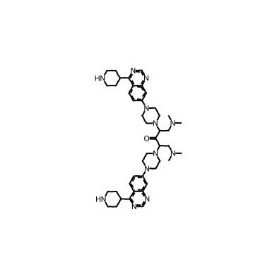 CN(C)CC(C(=O)C(CN(C)C)N1CCN(c2ccc3c(C4CCNCC4)ncnc3c2)CC1)N1CCN(c2ccc3c(C4CCNCC4)ncnc3c2)CC1